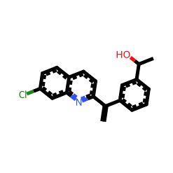 C=C(c1cccc(C(C)O)c1)c1ccc2ccc(Cl)cc2n1